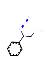 [N-]=[N+]=N[C@@H](CC(=O)O)c1ccccc1